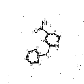 NC(=O)c1ccnc(Oc2ccccc2)c1